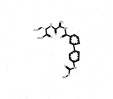 C=C(NC(=O)c1cccc(-c2ccc(NC(=O)OC(C)(C)C)cc2)c1)C(=O)N[C@@H](COC(C)=O)C(=O)OC